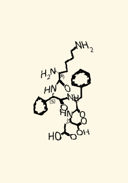 NCCCC[C@@H](N)C(=O)N[C@H](C(=O)N[C@@H](Cc1ccccc1)C(=O)N[C@@H](CC(=O)O)C(=O)O)c1ccccc1